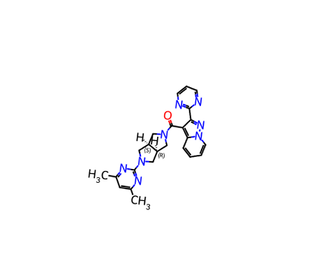 Cc1cc(C)nc(N2C[C@H]3CN(C(=O)c4c(-c5ncccn5)nn5ccccc45)C[C@H]3C2)n1